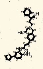 Nc1ccc(-c2cccs2)cc1NC(=O)C=Cc1ccc(CN(CCO)CCc2c[nH]c3ccccc23)cc1